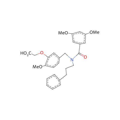 COc1cc(OC)cc(C(=O)N(CCCc2ccccc2)Cc2ccc(OC)c(OCC(=O)O)c2)c1